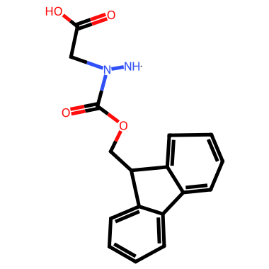 [NH]N(CC(=O)O)C(=O)OCC1c2ccccc2-c2ccccc21